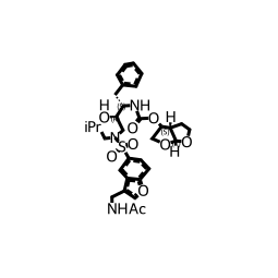 CC(=O)NCc1coc2ccc(S(=O)(=O)N(CC(C)C)C[C@@H](O)[C@H](Cc3ccccc3)NC(=O)OC3CO[C@H]4OCC[C@@H]34)cc12